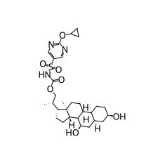 C[C@H](COC(=O)NS(=O)(=O)c1cnc(OC2CC2)nc1)[C@H]1CC[C@H]2[C@@H]3[C@H](O)C[C@@H]4C[C@H](O)CC[C@]4(C)[C@H]3CC[C@]12C